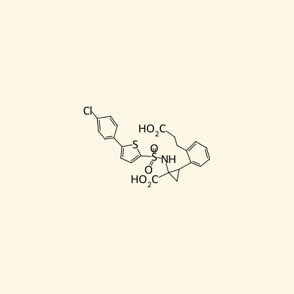 O=C(O)CCc1ccccc1C1CC1(NS(=O)(=O)c1ccc(-c2ccc(Cl)cc2)s1)C(=O)O